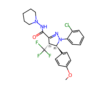 COc1ccc([C@H]2[C@H](C(F)(F)F)C(C(=O)NN3CCCCC3)=NN2c2ccccc2Cl)cc1